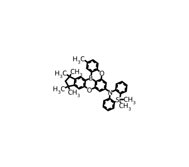 Cc1ccc2c(c1)B1c3cc4c(cc3Oc3cc(N5c6ccccc6[Si](C)(C)c6ccccc65)cc(c31)O2)C(C)(C)CC4(C)C